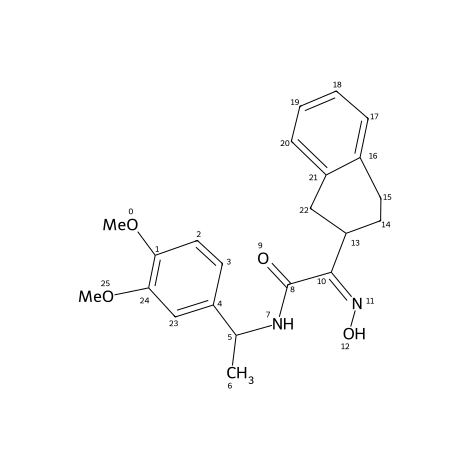 COc1ccc(C(C)NC(=O)C(=NO)C2CCc3ccccc3C2)cc1OC